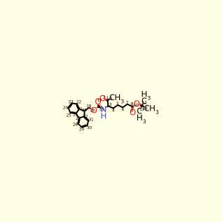 CC(=O)C(CCCCC(=O)OC(C)(C)C)NC(=O)OCC1c2ccccc2-c2ccccc21